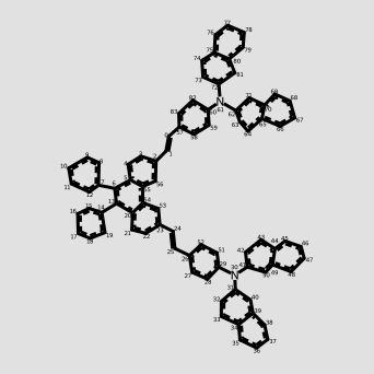 C(=C\c1ccc2c(-c3ccccc3)c(-c3ccccc3)c3ccc(/C=C/c4ccc(N(c5ccc6ccccc6c5)c5ccc6ccccc6c5)cc4)cc3c2c1)/c1ccc(N(c2ccc3ccccc3c2)c2ccc3ccccc3c2)cc1